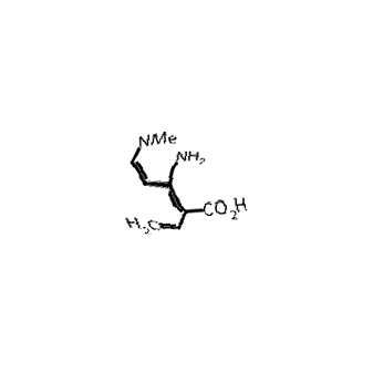 C=C/C(C(=O)O)=C(N)\C=C/NC